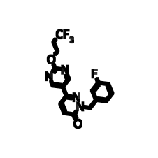 O=c1ccc(-c2cnc(OCCC(F)(F)F)nc2)nn1Cc1cccc(F)c1